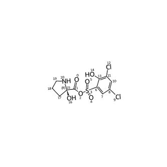 O=C(OS(=O)(=O)c1cc(Cl)cc(Cl)c1O)[C@]1(O)CCCN1